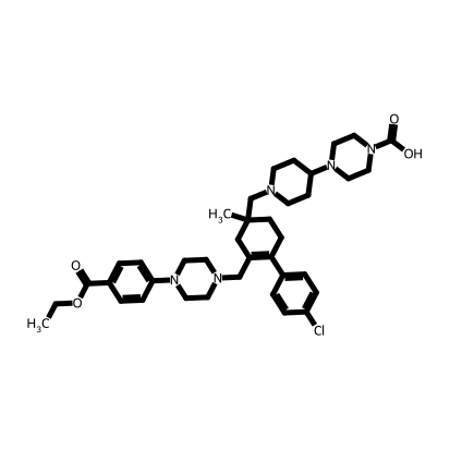 CCOC(=O)c1ccc(N2CCN(CC3=C(c4ccc(Cl)cc4)CCC(C)(CN4CCC(N5CCN(C(=O)O)CC5)CC4)C3)CC2)cc1